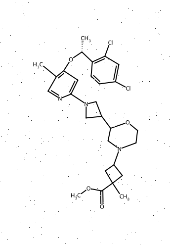 COC(=O)C1(C)CC(N2CCOC(C3CN(c4cc(O[C@H](C)c5ccc(Cl)cc5Cl)c(C)cn4)C3)C2)C1